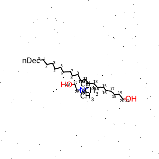 CCCCCCCCCCCCCCCCCCCCCCCCCCCCCCO.C[N+](C)(C)CCO